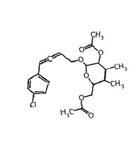 CC(=O)OCC1OC(OCC=C=Cc2ccc(Cl)cc2)C(OC(C)=O)C(C)C1C